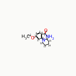 CCOc1ccc(C(N)=O)c(N2CCCCC2)c1